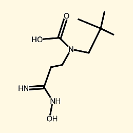 CC(C)(C)CN(CCC(=N)NO)C(=O)O